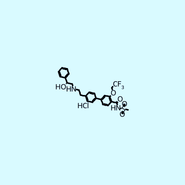 CS(=O)(=O)NC(=O)c1ccc(-c2ccc(CCNC[C@H](O)c3ccccc3)cc2)cc1OCC(F)(F)F.Cl